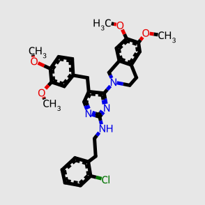 COc1ccc(Cc2cnc(NCCc3ccccc3Cl)nc2N2CCc3cc(OC)c(OC)cc3C2)cc1OC